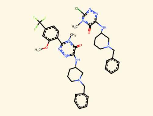 COc1cc(C(F)(F)F)ccc1-c1nnc(N[C@@H]2CCCN(Cc3ccccc3)C2)c(=O)n1C.Cn1c(Cl)nnc(N[C@@H]2CCCN(Cc3ccccc3)C2)c1=O